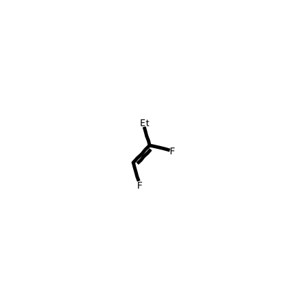 CCC(F)=CF